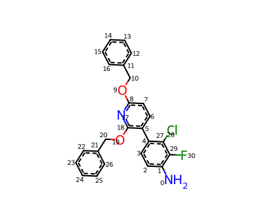 Nc1ccc(-c2ccc(OCc3ccccc3)nc2OCc2ccccc2)c(Cl)c1F